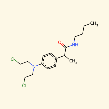 CCCCNC(=O)C(C)c1ccc(N(CCCl)CCCl)cc1